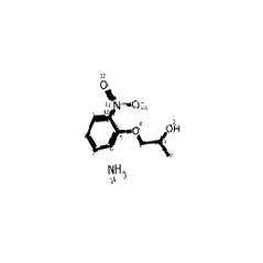 CC(O)COc1ccccc1[N+](=O)[O-].N